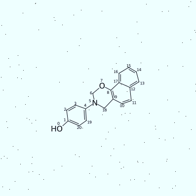 Oc1ccc(N2COc3c(ccc4ccccc34)C2)cc1